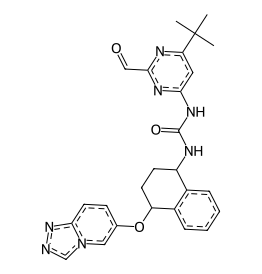 CC(C)(C)c1cc(NC(=O)NC2CCC(Oc3ccc4nncn4c3)c3ccccc32)nc(C=O)n1